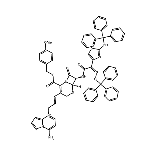 COc1ccc(COC(=O)C2=C(C=CC[n+]3ccc(N)n4nccc43)CS[C@H]3[C@H](NC(=O)C(=NOC(c4ccccc4)(c4ccccc4)c4ccccc4)c4csc(NC(c5ccccc5)(c5ccccc5)c5ccccc5)n4)C(=O)N23)cc1.[I-]